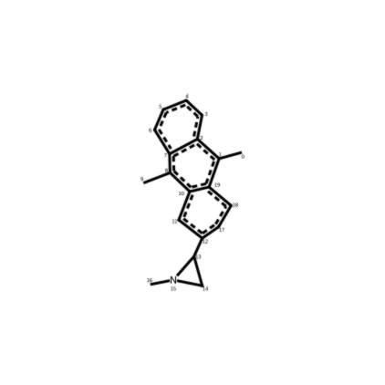 Cc1c2ccccc2c(C)c2cc(C3CN3C)ccc12